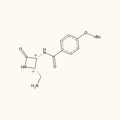 CCCCOc1ccc(C(=O)N[C@H]2C(=O)N[C@H]2CN)cc1